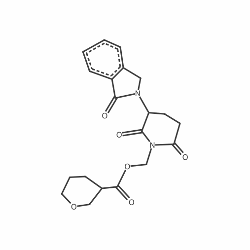 O=C(OCN1C(=O)CCC(N2Cc3ccccc3C2=O)C1=O)C1CCCOC1